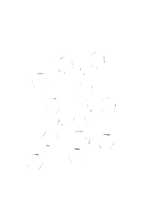 c1ccc(-c2ccc(N(c3ccc(-c4ccccc4)cc3)c3cc(N(c4ccccc4)c4ccccc4)cc(-n4c5ccccc5c5cc(N(c6ccccc6)c6ccccc6)ccc54)c3)cc2)cc1